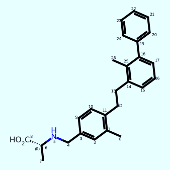 Cc1cc(CN[C@H](C)C(=O)O)ccc1CCc1cccc(-c2ccccc2)c1C